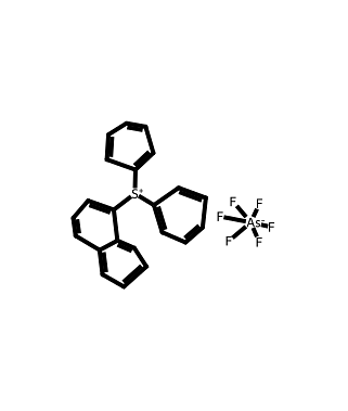 F[As-](F)(F)(F)(F)F.c1ccc([S+](c2ccccc2)c2cccc3ccccc23)cc1